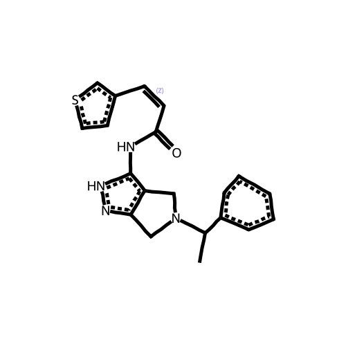 CC(c1ccccc1)N1Cc2n[nH]c(NC(=O)/C=C\c3ccsc3)c2C1